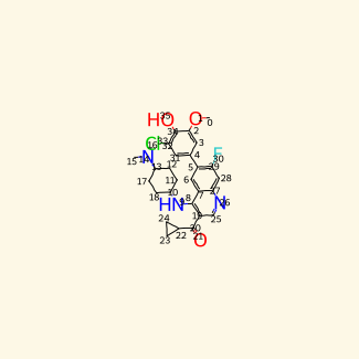 COc1cc(-c2cc3c(N[C@H]4CC[C@H](N(C)C)CC4)c(C(=O)C4CC4)cnc3cc2F)cc(Cl)c1O